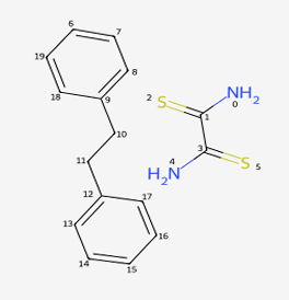 NC(=S)C(N)=S.c1ccc(CCc2ccccc2)cc1